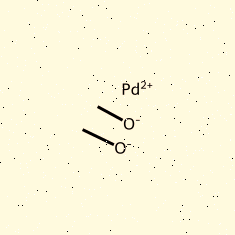 C[O-].C[O-].[Pd+2]